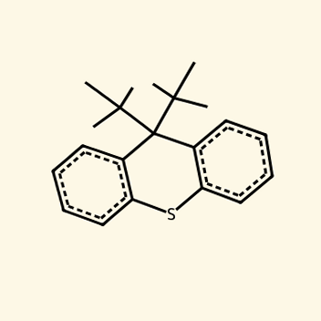 CC(C)(C)C1(C(C)(C)C)c2ccccc2Sc2ccccc21